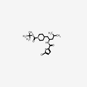 CC(C)CC(CC1CCN(C(=O)OC(C)(C)C)CC1)NC(=O)c1ccc(Cl)s1